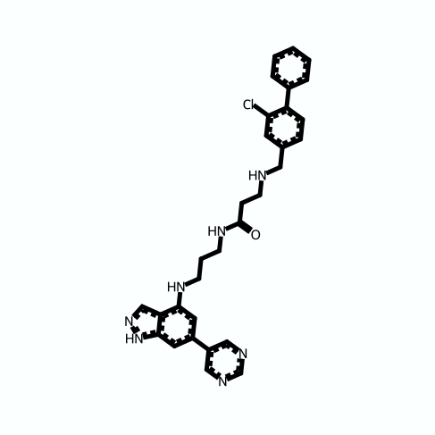 O=C(CCNCc1ccc(-c2ccccc2)c(Cl)c1)NCCCNc1cc(-c2cncnc2)cc2[nH]ncc12